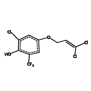 Oc1c(Cl)cc(OCC=C(Cl)Cl)cc1C(F)(F)F